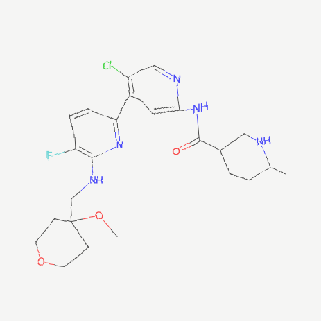 COC1(CNc2nc(-c3cc(NC(=O)C4CCC(C)NC4)ncc3Cl)ccc2F)CCOCC1